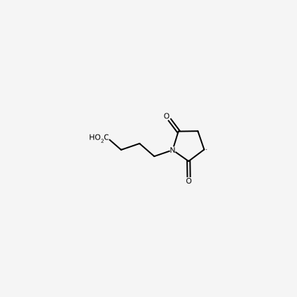 O=C(O)CCCN1C(=O)[CH]CC1=O